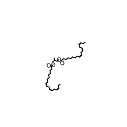 CC/C=C\C/C=C\C/C=C\CCCCCCCC(=O)OCC(C)COC(=O)CCCCCCC/C=C\C/C=C\C/C=C\CC